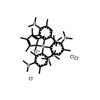 CC1=C(C)[C]([Ti+3])([Si](c2c(N(C)C)cc(C)c(N(C)C)c2C)(c2c(N(C)C)cc(C)c(N(C)C)c2C)c2c(N(C)C)cc(C)c(N(C)C)c2C)C(C)=C1C.[Cl-].[Cl-].[Cl-]